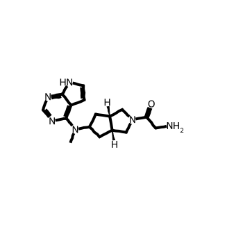 CN(c1ncnc2[nH]ccc12)C1C[C@@H]2CN(C(=O)CN)C[C@@H]2C1